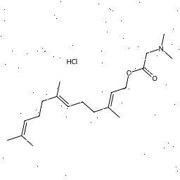 CC(C)=CCCC(C)=CCCC(C)=CCOC(=O)CN(C)C.Cl